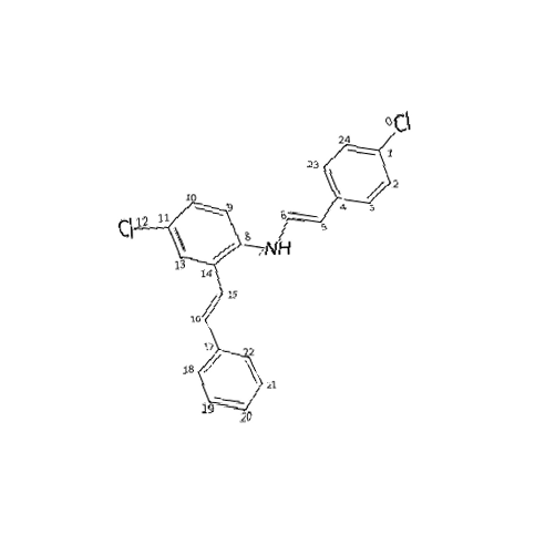 Clc1ccc(C=CNc2ccc(Cl)cc2C=Cc2ccccc2)cc1